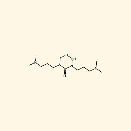 CN(C)CCCC1CONN(CCCN(C)C)C1=O